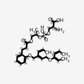 C/C=C\C(=C/COC(/C=C\C)=C/C)COc1ccccc1CCC(=O)OC[C@@H](C)OP(=O)(O)OC[C@H](N)C(=O)O